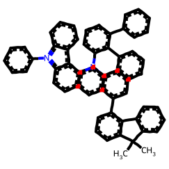 CC1(C)c2ccccc2-c2c(-c3cccc(N(c4cccc(-c5ccccc5)c4-c4ccccc4-c4ccccc4)c4cccc5c4c4ccccc4n5-c4ccccc4)c3)cccc21